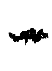 O=C(O)c1ccc2nc(Cc3cc(F)c(-c4cccc(OCc5ncc(Cl)s5)n4)cc3F)n(C[C@@H]3CCO3)c2c1